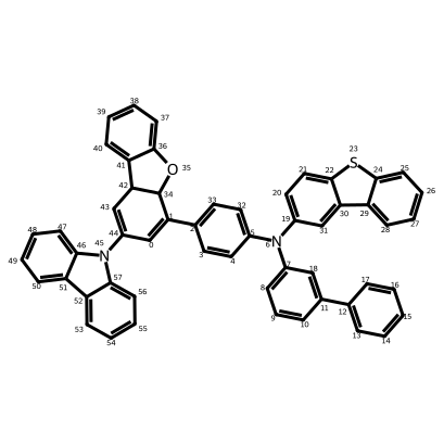 C1=C(c2ccc(N(c3cccc(-c4ccccc4)c3)c3ccc4sc5ccccc5c4c3)cc2)C2Oc3ccccc3C2C=C1n1c2ccccc2c2ccccc21